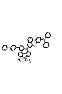 CC1(C)c2ccccc2-c2c(N(c3ccc(-c4ccc(-c5ccccc5)cc4)cc3)c3cc4c5c(cccc5c3)-c3ccc(N(c5ccccc5)c5ccccc5)cc3O4)cccc21